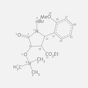 CCCCN1C(=O)C(O[Si](C)(C)C)C(C(=O)OCC)C1c1ccccc1OC